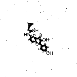 N=C(CC1CC1)Nc1ccc2oc(-c3ccc(O)cc3)c(O)c(=O)c2c1